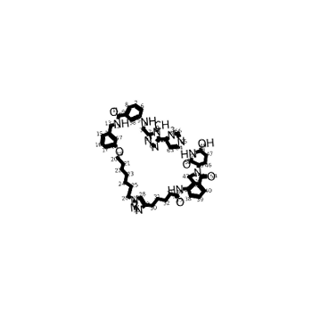 Cn1c(CNc2cccc(C(=O)NCc3cccc(OCCCCCCCn4cc(CCCCC(=O)Nc5cccc6c5CN(C5CCC(O)NC5=O)C6=O)nn4)c3)c2)nnc1-c1ccncn1